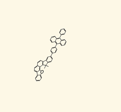 CC1(C)c2ccc(-c3ccc(-c4c5ccccc5c(-c5ccccc5)c5ccccc45)cc3)cc2-c2ccc3ccc4c5ccccc5oc4c3c21